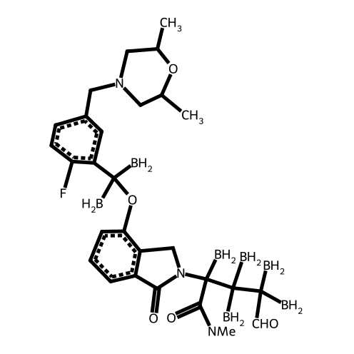 BC(B)(Oc1cccc2c1CN(C(B)(C(=O)NC)C(B)(B)C(B)(B)C=O)C2=O)c1cc(CN2CC(C)OC(C)C2)ccc1F